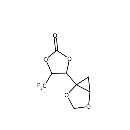 O=C1OC(C(F)(F)F)C(C23CC2OCO3)O1